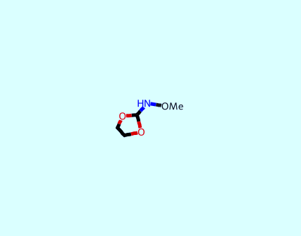 CONC1OCCO1